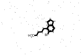 CCCCCc1c(Br)ccc2c1C=CC2